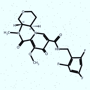 COc1c2n(cc(C(=O)NCc3c(F)cc(F)cc3F)c1=O)[C@@H]1CCOC[C@H]1N(C)C2=O